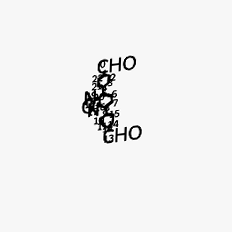 O=Cc1ccc(-c2ccc(-c3ccc(C=O)cc3)c3nonc23)cc1